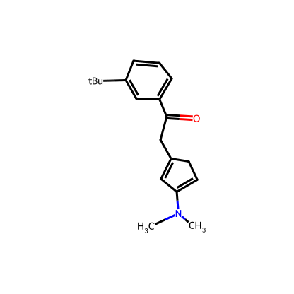 CN(C)C1=CCC(CC(=O)c2cccc(C(C)(C)C)c2)=C1